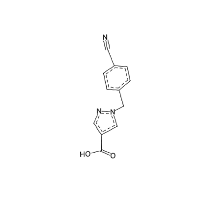 N#Cc1ccc(Cn2cc(C(=O)O)cn2)cc1